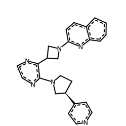 c1ccc2nc(N3CC(c4nccnc4N4CC[C@@H](c5ccncc5)C4)C3)ccc2c1